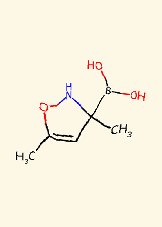 CC1=CC(C)(B(O)O)NO1